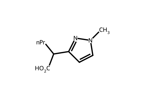 CCCC(C(=O)O)c1ccn(C)n1